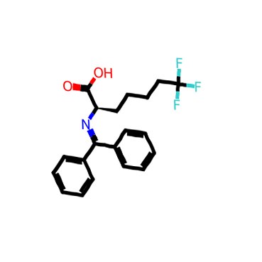 O=C(O)[C@@H](CCCCC(F)(F)F)N=C(c1ccccc1)c1ccccc1